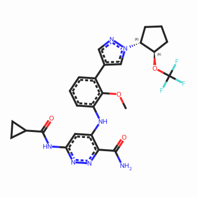 COc1c(Nc2cc(NC(=O)C3CC3)nnc2C(N)=O)cccc1-c1cnn([C@@H]2CCC[C@H]2OC(F)(F)F)c1